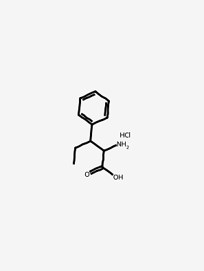 CCC(c1ccccc1)C(N)C(=O)O.Cl